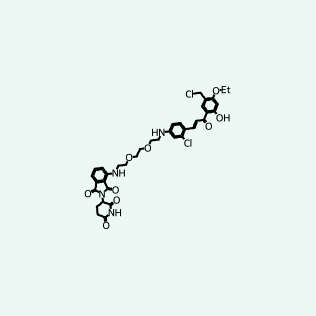 CCOc1cc(O)c(C(=O)/C=C/c2ccc(NCCOCCOCCNc3cccc4c3C(=O)N(C3CCC(=O)NC3=O)C4=O)cc2Cl)cc1CCl